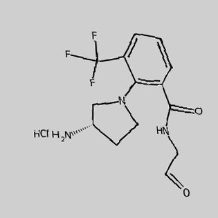 Cl.N[C@H]1CCN(c2c(C(=O)NCC=O)cccc2C(F)(F)F)C1